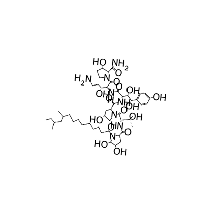 CCC(C)CC(C)CCCCCCCCC(=O)N1C(O)[C@H](O)C[C@@H]1C(=O)N[C@H](C(=O)N1C[C@H](O)C[C@H]1C(=O)N[C@H](C(=O)N[C@H](C(=O)N1CC[C@H](O)[C@H]1C(N)=O)[C@H](O)CCN)[C@H](O)[C@@H](O)c1ccc(O)cc1)[C@@H](C)O